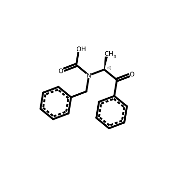 C[C@@H](C(=O)c1ccccc1)N(Cc1ccccc1)C(=O)O